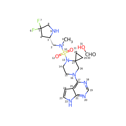 CN(C[C@@H]1CC(F)(F)CN1)S(=O)(=O)N1CCN(c2ncnc3[nH]ccc23)CC12CC2.O=CO